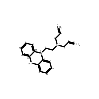 C=CCN(CC=C)CCN1c2ccccc2Sc2ccccc21